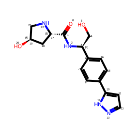 O=C(N[C@@H](CO)c1ccc(-c2ccn[nH]2)cc1)[C@@H]1C[C@@H](O)CN1